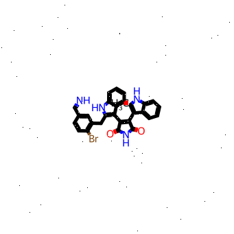 Cc1[nH]c2ccccc2c1C1=C(c2c(Cc3cc(C=N)ccc3Br)[nH]c3ccccc23)C(=O)NC1=O